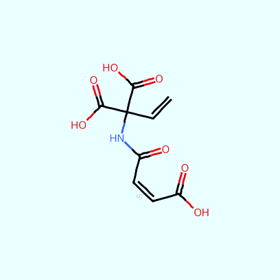 C=CC(NC(=O)/C=C\C(=O)O)(C(=O)O)C(=O)O